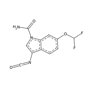 NC(=O)n1cc(N=C=O)c2ccc(OC(F)F)cc21